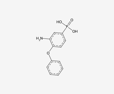 Nc1cc(P(=O)(O)O)ccc1Oc1ccccc1